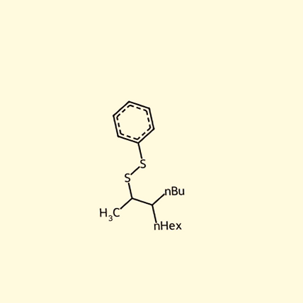 CCCCCCC(CCCC)C(C)SSc1ccccc1